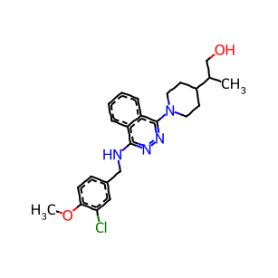 COc1ccc(CNc2nnc(N3CCC(C(C)CO)CC3)c3ccccc23)cc1Cl